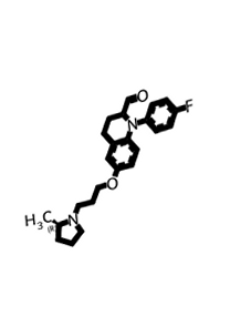 C[C@@H]1CCCN1CCCOc1ccc2c(c1)CCC(C=O)N2c1ccc(F)cc1